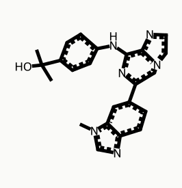 Cn1cnc2ccc(-c3cn4ccnc4c(Nc4ccc(C(C)(C)O)cc4)n3)cc21